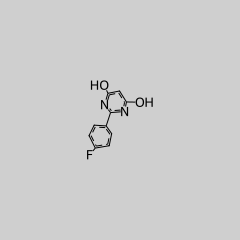 Oc1cc(O)nc(-c2ccc(F)cc2)n1